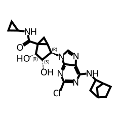 O=C(NC1CC1)C12CC1[C@@H](n1cnc3c(NC4CC5CCC4C5)nc(Cl)nc31)[C@H](O)[C@@H]2O